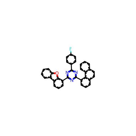 Fc1ccc(-c2nc(-c3cccc4c3oc3ccccc34)nc(-c3cccc4ccc5ccccc5c34)n2)cc1